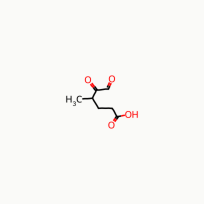 CC(CCC(=O)O)C(=O)C=O